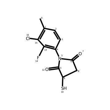 Cc1ccc(N2C(=O)CC(S)C2=O)c(F)c1Cl